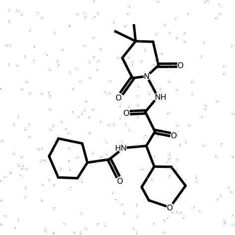 CC1(C)CC(=O)N(NC(=O)C(=O)C(NC(=O)C2CCCCC2)C2CCOCC2)C(=O)C1